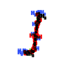 C/C(=C\c1cc(F)c(Oc2ccc(S(=O)(=O)NCCOCCOCCOCCNC(=O)[C@H](O)[C@@H](O)C(=O)NCCOCCOCCOCCNS(=O)(=O)c3ccc(Oc4c(F)cc(/C=C(\C)C(=O)N=C(N)N)cc4F)cc3)cc2)c(F)c1)C(=O)N=C(N)N